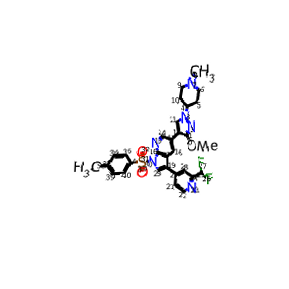 COc1nn(C2CCN(C)CC2)cc1-c1cnc2c(c1)c(-c1ccnc(C(F)F)c1)cn2S(=O)(=O)c1ccc(C)cc1